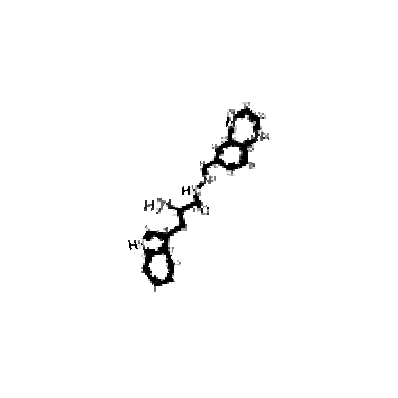 N[C@H](Cc1c[nH]c2ccccc12)C(=O)N/N=C/c1ccc2nccnc2c1